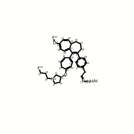 CC(=O)N/N=C\Cc1ccc(C2=C(C3=CC=C(O[C@H]4CCN(CCCF)C4)CC=C3)C3=CC=C(OF)C=CC3CCC2)cc1